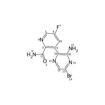 NC(=O)c1ncc(F)cc1-c1ncc(Br)nc1N